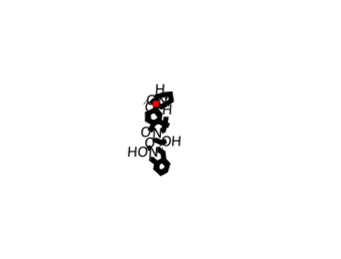 COC1C[C@H]2CC[C@@H](C1)N2C(=O)c1ccc2c(c1)C(C)(C)CN(CC(O)[C@@H]1Cc3ccccc3CN1C(=O)O)C2=O